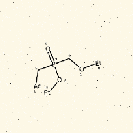 CCOCP(=O)(CC(C)=O)OCC